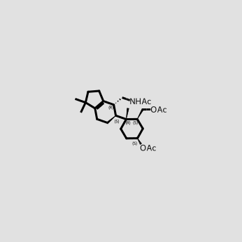 CC(=O)NC[C@H]1C2=C(CC[C@@H]1[C@@]1(C)CC[C@H](OC(C)=O)C[C@@H]1COC(C)=O)C(C)(C)CC2